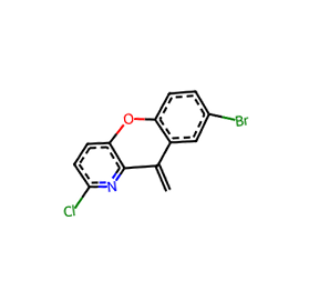 C=C1c2cc(Br)ccc2Oc2ccc(Cl)nc21